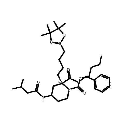 CCCCOC(=O)N1CCC(NC(=O)CC(C)C)C[C@]1(CCCCB1OC(C)(C)C(C)(C)O1)C(=O)OCc1ccccc1